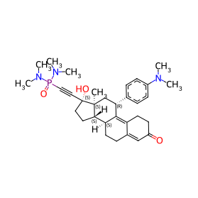 CN(C)c1ccc([C@H]2C[C@@]3(C)[C@@H](CC[C@@]3(O)C#CP(=O)(N(C)C)N(C)C)[C@@H]3CCC4=CC(=O)CCC4=C32)cc1